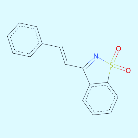 O=S1(=O)N=C(C=Cc2ccccc2)c2ccccc21